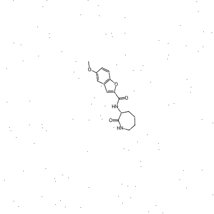 COc1ccc2oc(C(=O)NC3CCCCNC3=O)cc2c1